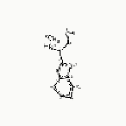 CN[C@@H](CO)c1cc2ccccc2o1